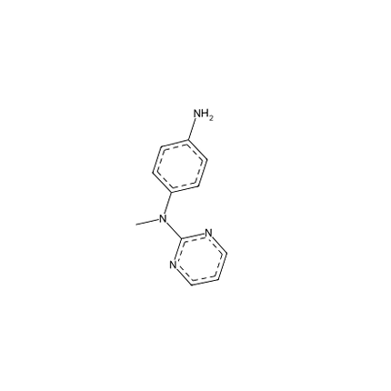 CN(c1ccc(N)cc1)c1ncccn1